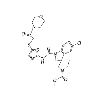 COC(=O)N1CCC2(C1)CN(C(=O)Nc1ncc(SCC(=O)N3CCOCC3)s1)c1ccc(Cl)cc12